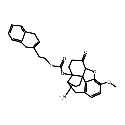 COc1ccc2c3c1OC1C(=O)CCC4(OC(=O)OCCC5=CCc6ccccc6C5)C(C2)C(N)CCC314